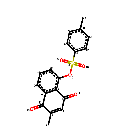 CC1=CC(=O)c2c(OS(=O)(=O)c3ccc(C)cc3)cccc2C1=O